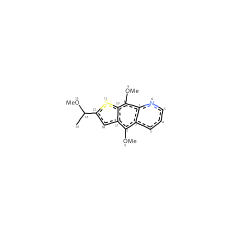 COc1c2cccnc2c(OC)c2sc(C(C)OC)cc12